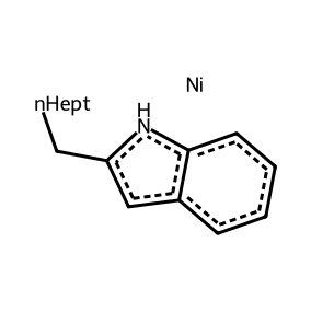 CCCCCCCCc1cc2ccccc2[nH]1.[Ni]